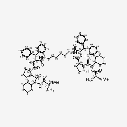 CN[C@@H](C)C(=O)N[C@@H](C1CCCCC1)C(O)N1CCC[C@H]1C(=O)N[C@H](C(=O)NCCCCCCNC(=O)[C@@H](NC(=O)[C@@H]1CCCN1C(=O)[C@@H](NC(=O)[C@H](C)NC)C1CCCCC1)C(c1ccccc1)c1ccccc1)C(c1ccccc1)c1ccccc1